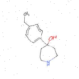 CCc1ccc(C2(O)CCNCC2)cc1